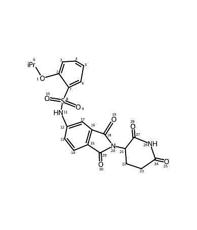 CC(C)Oc1ccccc1S(=O)(=O)Nc1ccc2c(c1)C(=O)N(C1CCC(=O)NC1=O)C2=O